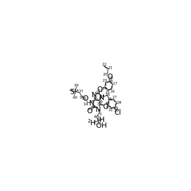 [2H]C([2H])(O)CCn1c(=O)c2c(nc(Oc3cccc(OCC=C)c3)n2Cc2ccc(Cl)cc2)n(COCC[Si](C)(C)C)c1=O